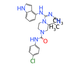 CC(C)C1CN(C(=O)Nc2ccc(Cl)cc2)CCN1/C(=N\C#N)Nc1cccc2[nH]ccc12